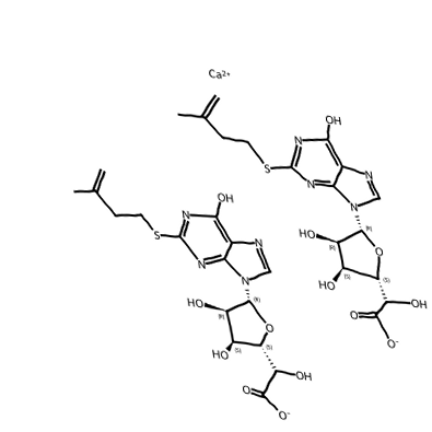 C=C(C)CCSc1nc(O)c2ncn([C@@H]3O[C@H](C(O)C(=O)[O-])[C@@H](O)[C@H]3O)c2n1.C=C(C)CCSc1nc(O)c2ncn([C@@H]3O[C@H](C(O)C(=O)[O-])[C@@H](O)[C@H]3O)c2n1.[Ca+2]